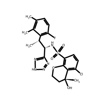 Cc1ccc(F)c([C@@H](C)[C@H](NS(=O)(=O)c2ccc(Cl)c3c2OCC[C@@]3(C)O)c2nn[nH]n2)c1C